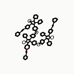 O=C1C(c2ccc(C#Cc3ccccc3)cc2)=C(c2ccccc2)C(c2ccc(Oc3ccc(C4=C(c5ccc(C#Cc6ccccc6)cc5)C(=O)C(c5ccccc5)=C4c4ccc(Oc5ccc(C6=C(c7ccc(C#Cc8ccccc8)cc7)C(=O)C(c7ccccc7)=C6c6ccccc6)cc5)cc4)cc3)cc2)=C1c1ccccc1